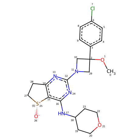 COC1(c2ccc(Cl)cc2)CN(c2nc3c(c(NC4CCOCC4)n2)[S@+]([O-])CC3)C1